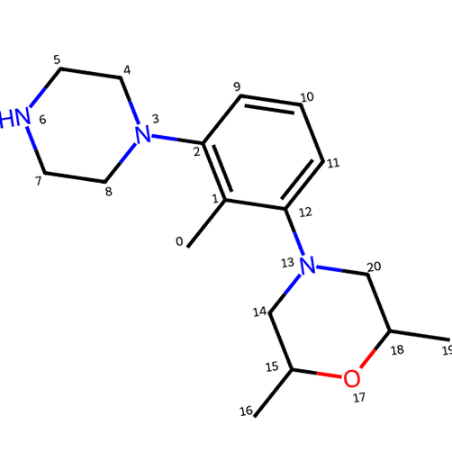 Cc1c(N2CCNCC2)cccc1N1CC(C)OC(C)C1